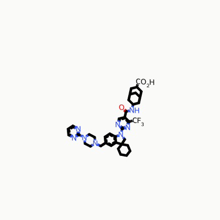 O=C(NC1CC2CC(C1)CC(C(=O)O)C2)c1cnc(N2CC3(CCCCC3)c3cc(CN4CCN(c5ncccn5)CC4)ccc32)nc1C(F)(F)F